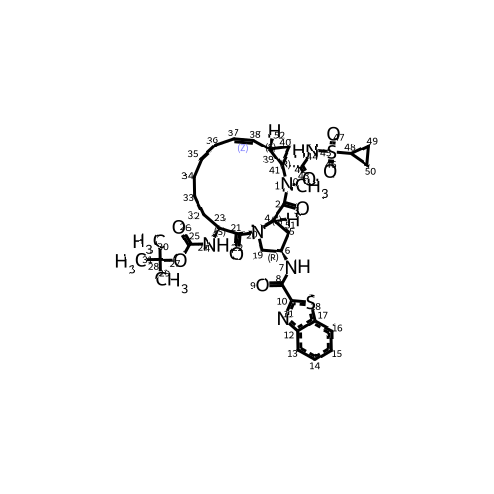 CN1C(=O)[C@@H]2C[C@@H](NC(=O)c3nc4ccccc4s3)CN2C(=O)[C@@H](NC(=O)OC(C)(C)C)CCCCC/C=C\[C@@H]2C[C@]21C(=O)NS(=O)(=O)C1CC1